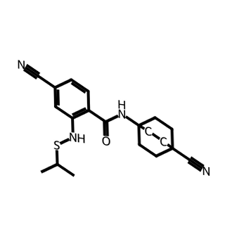 CC(C)SNc1cc(C#N)ccc1C(=O)NC12CCC(C#N)(CC1)CC2